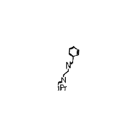 CC(C)C=NCCN=Cc1ccccc1